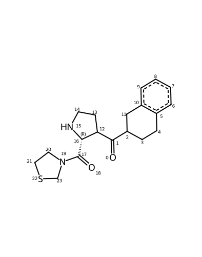 O=C(C1CCc2ccccc2C1)C1CCN[C@H]1C(=O)N1CCSC1